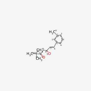 Cc1cccc(C=CC(=O)CC(=O)C(C)(C)C)c1